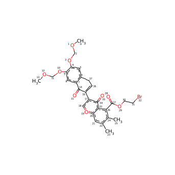 COCOc1cc2c(cc1OCOC)C(=O)C(c1coc3cc(C)c(C)c(C(=O)OCCBr)c3c1=O)=CC2